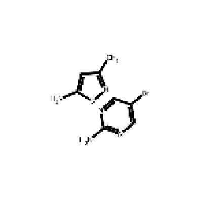 Cc1cc(N)sn1.Nc1ncc(Br)cn1